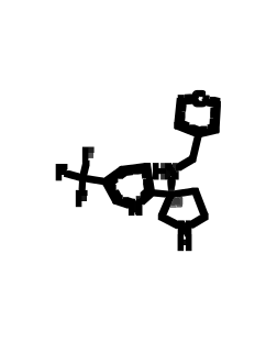 FC(F)(F)c1ccc([C@]2(NCc3ccccc3)CCNC2)nc1